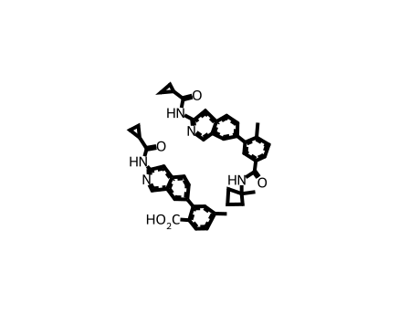 Cc1ccc(C(=O)NC2(C)CCC2)cc1-c1ccc2cc(NC(=O)C3CC3)ncc2c1.Cc1ccc(C(=O)O)c(-c2ccc3cc(NC(=O)C4CC4)ncc3c2)c1